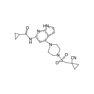 N#CC1(CS(=O)(=O)N2CCN(c3cc(NC(=O)C4CC4)nc4[nH]ccc34)CC2)CC1